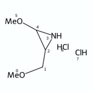 COCC1NC1OC.Cl.Cl